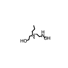 CCC[N+](C)(CCO)CCNO